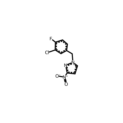 O=[N+]([O-])c1ccn(Cc2ccc(F)c(Cl)c2)n1